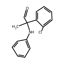 [CH2]C(C=O)(Nc1ccccc1)c1ccccc1Cl